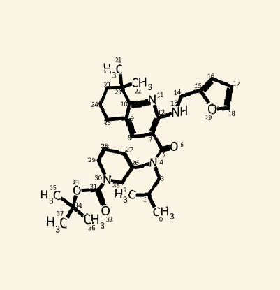 CC(C)CN(C(=O)c1cc2c(nc1NCc1ccco1)C(C)(C)CCC2)C1CCCN(C(=O)OC(C)(C)C)C1